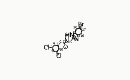 O=C(Cc1cc(Cl)cc(Cl)c1)NCc1nc2ccc(Br)cc2[nH]1